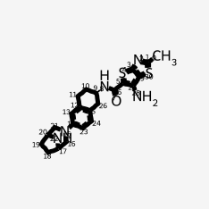 Cc1nc2sc(C(=O)N[C@H]3CCc4cc(N5CC6CCC(C5)N6)ccc4C3)c(N)c2s1